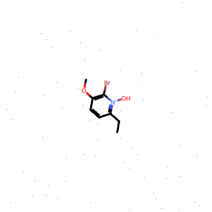 CCc1ccc(OC)c(Br)[n+]1O